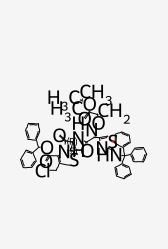 C=C(ON=C(C(=O)N[C@@H]1C(=O)N2C(C(=O)OC(c3ccccc3)c3ccccc3)=C(CCl)CS[C@@H]12)c1csc(NC(c2ccccc2)(c2ccccc2)c2ccccc2)n1)C(=O)OC(C)(C)C